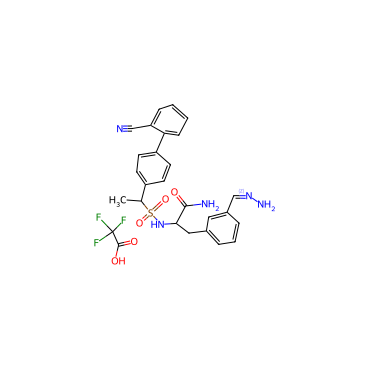 CC(c1ccc(-c2ccccc2C#N)cc1)S(=O)(=O)NC(Cc1cccc(/C=N\N)c1)C(N)=O.O=C(O)C(F)(F)F